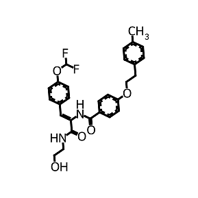 Cc1ccc(CCOc2ccc(C(=O)N/C(=C\c3ccc(OC(F)F)cc3)C(=O)NCCO)cc2)cc1